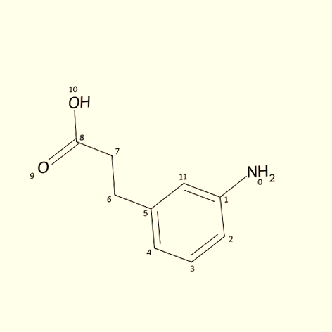 Nc1cccc(CCC(=O)O)c1